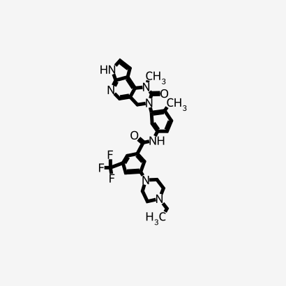 CCN1CCN(c2cc(C(=O)Nc3ccc(C)c(N4Cc5cnc6[nH]ccc6c5N(C)C4=O)c3)cc(C(F)(F)F)c2)CC1